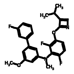 COc1cc(-c2cccc(F)c2)cc(N(C)c2c(F)ccc(OC3=NC=C3C(C)C)c2F)c1